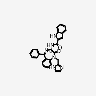 O=C(N[C@H]1N=C(c2ccccc2)c2ccccc2N(Cc2ncc[nH]2)C1=O)c1cc2ccccc2[nH]1